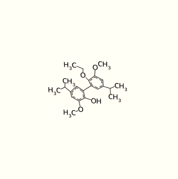 CCOc1c(OC)cc(C(C)C)cc1-c1cc(C(C)C)cc(OC)c1O